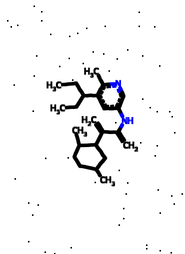 C=C(Nc1cnc(C)c(C(CC)CC)c1)C(=C)C1CC(C)CCC1C